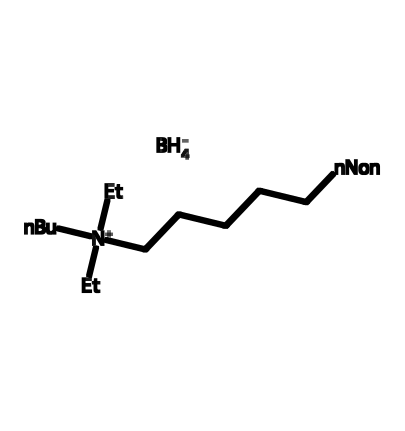 CCCCCCCCCCCCCC[N+](CC)(CC)CCCC.[BH4-]